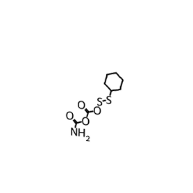 NC(=O)OC(=O)OSSC1CCCCC1